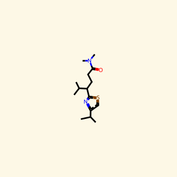 CC(C)c1csc(C(CCC(=O)N(C)C)C(C)C)n1